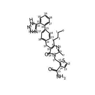 CCCCc1nc(C)n(Cc2sccc2C(N)=O)c(=O)c1Cc1ccc(-c2ccccc2-c2nnn[nH]2)cc1